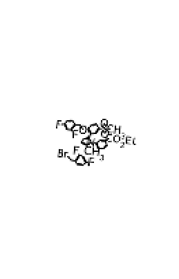 CCOC(=O)c1cccc(-n2c(C)ccc2-c2cc(S(C)(=O)=O)ccc2OCc2ccc(F)cc2F)c1.Fc1ccc(CBr)c(F)c1